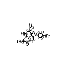 CC(C)c1ccc(-n2nc3c4c2CCN(C(=O)OC(C)(C)C)C4CNCC3C)cc1